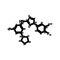 Fc1cc(Nc2ncn(-c3ccc(F)c(F)c3)n2)cc(N2CCCC2)c1